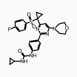 O=C(Nc1ccc(-c2nc(N3CCOCC3)cc(C3(S(=O)(=O)c4ccc(F)cc4)CC3)n2)cc1)NC1CC1